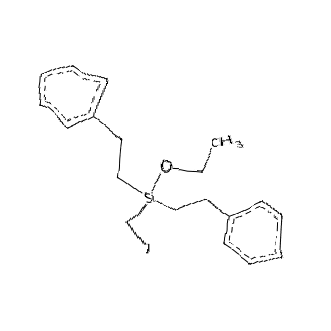 CCO[Si](CI)(CCc1ccccc1)CCc1ccccc1